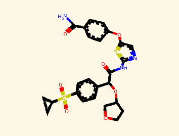 NC(=O)c1ccc(Oc2cnc(NC(=O)C(OC3CCOC3)c3ccc(S(=O)(=O)C4CC4)cc3)s2)cc1